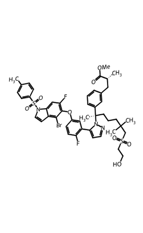 COC(=O)[C@H](C)Cc1cccc([C@@](C)(CCCC(C)(C)CS(=O)(=O)CCO)n2nccc2-c2cc(Oc3c(F)cc4c(ccn4S(=O)(=O)c4ccc(C)cc4)c3Br)ccc2F)c1